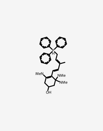 CNC1=C(C=CC(C)=CC[PH](c2ccccc2)(c2ccccc2)c2ccccc2)C(NC)(NC)CC(O)C1